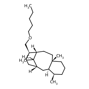 CCCCCOC[C@@H]1CC[C@H]2C[C@@H]3[C@H](C)CCC[C@@]3(C)CC[C@@H]1C2(C)C